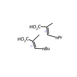 CCC/C=C(\C)C(=O)O.CCCC/C=C(\C)C(=O)O